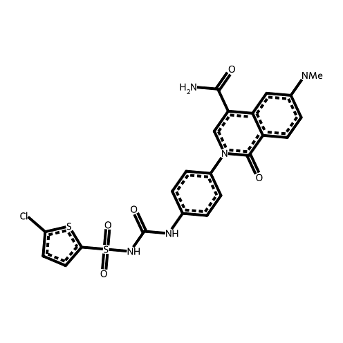 CNc1ccc2c(=O)n(-c3ccc(NC(=O)NS(=O)(=O)c4ccc(Cl)s4)cc3)cc(C(N)=O)c2c1